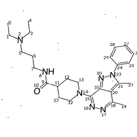 CCN(CC)CCCNC(=O)C1CCN(c2nnc(C)c3c(C)n(-c4ccccc4)nc23)CC1